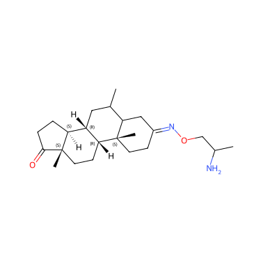 CC(N)CON=C1CC[C@@]2(C)C(C1)C(C)C[C@@H]1[C@H]2CC[C@]2(C)C(=O)CC[C@@H]12